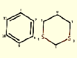 C1CSCSC1.c1ccccc1